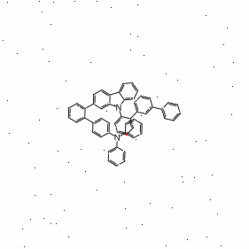 c1ccc(-c2cccc(-c3ccccc3-n3c4ccccc4c4ccc(-c5ccccc5-c5ccc(N(c6ccccc6)c6ccccc6)cc5)cc43)c2)cc1